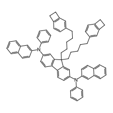 c1ccc(N(c2ccc3c(c2)C(CCCCCc2ccc4c(c2)CC4)(CCCCCc2ccc4c(c2)CC4)c2cc(N(c4ccccc4)c4ccc5ccccc5c4)ccc2-3)c2ccc3ccccc3c2)cc1